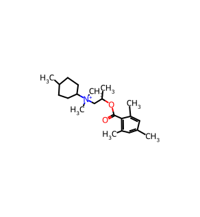 Cc1cc(C)c(C(=O)OC(C)C[N+](C)(C)C2CCC(C)CC2)c(C)c1